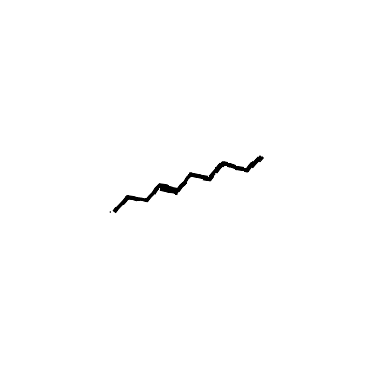 [CH2]CCC=CCCCCC